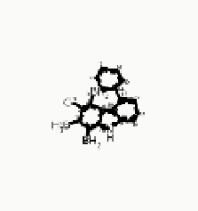 Bc1c(Cl)c(B)c2c([nH]c3cccc(-c4ccccc4)c32)c1B